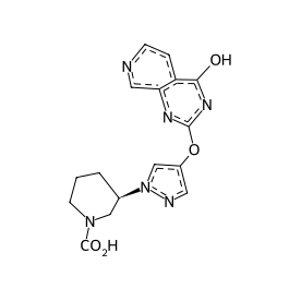 O=C(O)N1CCC[C@@H](n2cc(Oc3nc(O)c4ccncc4n3)cn2)C1